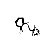 O=C1CC=CC=C1OCc1ncno1